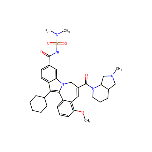 COc1cccc2c1C=C(C(=O)N1CCCC3CN(C)CC31)Cn1c-2c(C2CCCCC2)c2ccc(C(=O)NS(=O)(=O)N(C)C)cc21